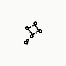 c1ccc2c(c1)-c1nc-2nc2[nH]c(nc3nc(nc4[nH]c(n1)c1ccccc41)-c1ccccc1-3)c1c[c]([Zn][c]3cc4ccccc4s3)ccc21